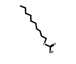 CCCCCCCCCCOC([NH])=O